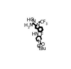 CC(C)(C)OC(=O)N1CC[C@@H](Nc2cccc3c2cc(/C(N)=N/O)n3CC(F)(F)F)[C@@H](F)C1